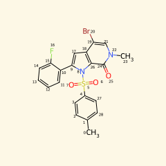 Cc1ccc(S(=O)(=O)n2c(-c3ccccc3F)cc3c(Br)cn(C)c(=O)c32)cc1